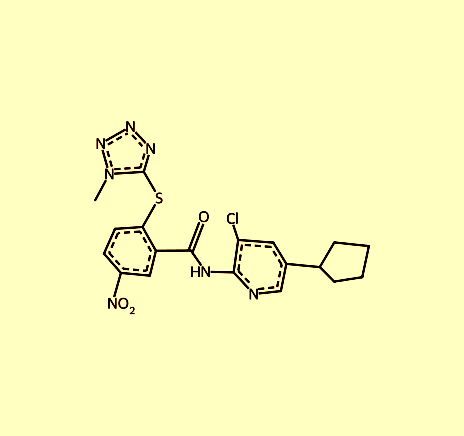 Cn1nnnc1Sc1ccc([N+](=O)[O-])cc1C(=O)Nc1ncc(C2CCCC2)cc1Cl